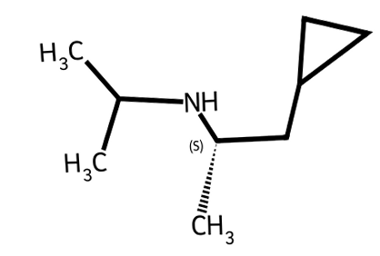 CC(C)N[C@@H](C)CC1CC1